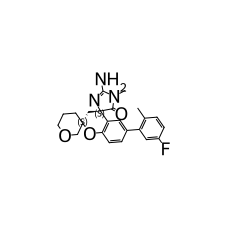 Cc1ccc(F)cc1-c1ccc2c(c1)[C@]1(C[C@]3(CCCOC3)O2)N=C(N)N(C)C1=O